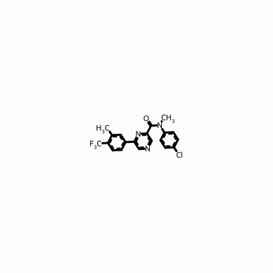 Cc1cc(-c2cncc(C(=O)N(C)c3ccc(Cl)cc3)n2)ccc1C(F)(F)F